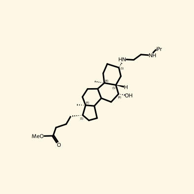 COC(=O)CCC[C@H]1CCC2C3C[C@@H](O)[C@H]4C[C@@H](NCCNC(C)C)CC[C@]4(C)C3CC[C@@]21C